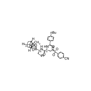 CCCCc1ccc(C(=O)N[C@@H](CNS(=O)(=O)c2ccc(C#N)cc2)C(=O)N[C@@H](CC(C)C)B2O[C@@H]3C[C@@H]4C[C@@H](C4(C)C)[C@]3(C)O2)cc1